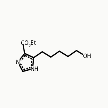 CCOC(=O)c1nc[nH]c1CCCCCO